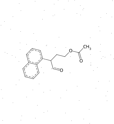 CC(=O)OCCC([C]=O)c1cccc2ccccc12